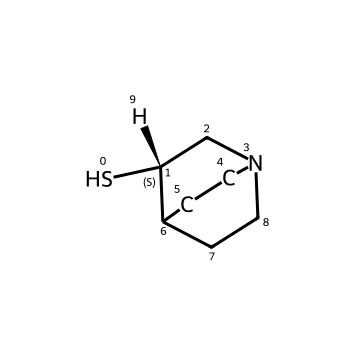 S[C@@H]1CN2CCC1CC2